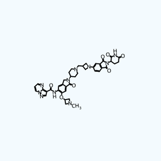 CN1CC(Oc2cc3c(cc2NC(=O)c2cnn4cccnc24)CN(C2CCN(CC4CN(c5ccc6c(c5)C(=O)N(C5CCC(=O)NC5=O)C6=O)C4)CC2)C3=O)C1